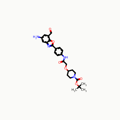 CC(C)(C)OC(=O)N1CCC(OCC(=O)Nc2ccc(-c3nc4cc(N)cc(C=O)c4o3)cc2)CC1